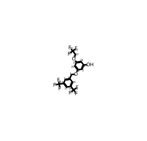 Oc1cc(OCc2cc(C(F)(F)F)cc(C(F)(F)F)c2)cc(OCC(F)(F)F)c1